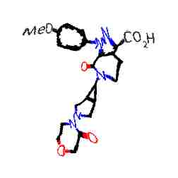 COc1ccc(-n2nc(C(=O)O)c3c2C(=O)N(C2C4CN(N5CCOCC5=O)CC42)CC3)cc1